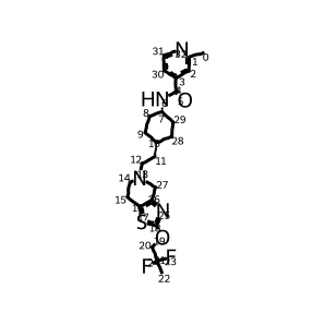 Cc1cc(C(=O)N[C@H]2CC[C@H](CCN3CCc4sc(OCC(C)(F)F)nc4C3)CC2)ccn1